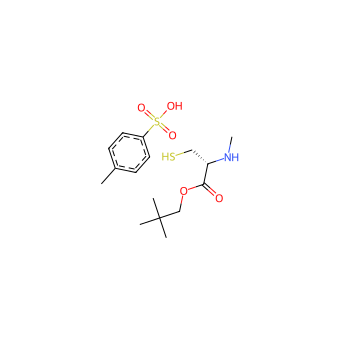 CN[C@@H](CS)C(=O)OCC(C)(C)C.Cc1ccc(S(=O)(=O)O)cc1